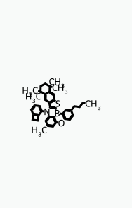 CCCCc1ccc2c(c1)B1c3sc4cc5c(cc4c3N(c3cccc4c3CC4)c3cc(C)cc(c31)O2)C(C)(C)CCC5(C)C